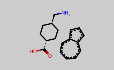 NC[C@H]1CC[C@H](C(=O)O)CC1.c1ccc2cccc-2cc1